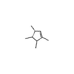 CC1=CC(C)C(C)C1C